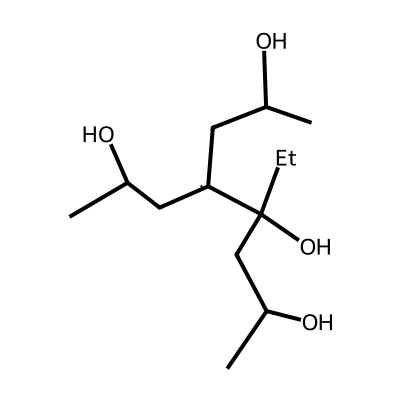 CCC(O)(CC(C)O)[C](CC(C)O)CC(C)O